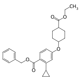 CCOC(=O)C1CCC(Oc2ccc(C(=O)OCc3ccccc3)c(C3CC3)c2)CC1